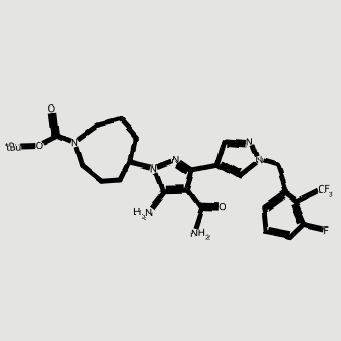 CC(C)(C)OC(=O)N1CCCC(n2nc(-c3cnn(Cc4cccc(F)c4C(F)(F)F)c3)c(C(N)=O)c2N)CCC1